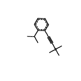 CC(C)c1ccccc1C#C[Si](C)(C)C